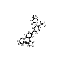 CC(=O)N1CCC(c2cc(-c3ccc(C4CCOCC4)c([C@@H]4CCCN4)c3)cnc2N)CC1